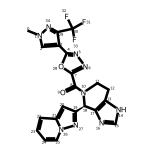 Cn1cc(-c2nnc(C(=O)N3CCc4[nH]cnc4[C@H]3c3cc4ccccn4n3)o2)c(C(F)(F)F)n1